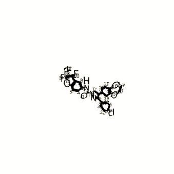 O=C(Nc1ccc2c(c1)C(F)(F)C(F)(F)O2)N1CC(c2ccc3c(c2)OCCO3)C(c2ccc(Cl)cc2)=N1